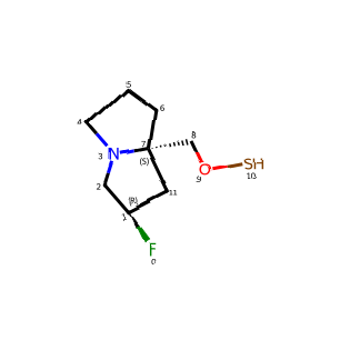 F[C@H]1CN2CCC[C@@]2(COS)C1